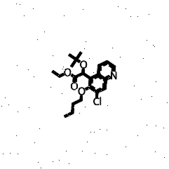 CCCCOc1c(Cl)cc2ncccc2c1C(OC(C)(C)C)C(=O)OCC